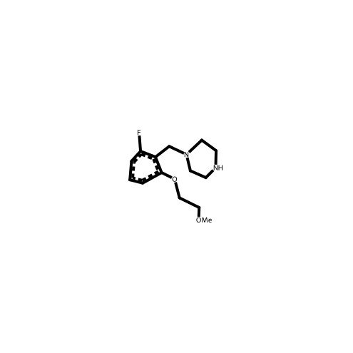 COCCOc1cccc(F)c1CN1CCNCC1